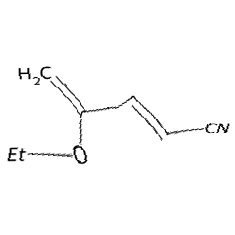 C=C(/C=C/C#N)OCC